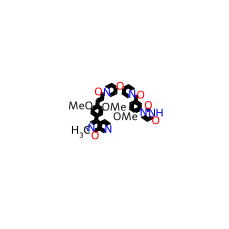 COc1ccc(C(=O)N2CCC(OC3CCN(C(=O)C=Cc4c(OC)cc(-c5cn(C)c(=O)c6cnccc56)cc4OC)CC3)CC2)cc1-n1ccc(=O)[nH]c1=O